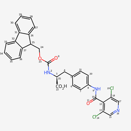 O=C(N[C@@H](Cc1ccc(NC(=O)c2c(Cl)cncc2Cl)cc1)C(=O)O)OCC1c2ccccc2-c2ccccc21